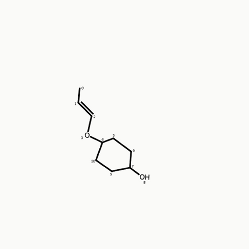 CC=COC1CCC(O)CC1